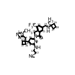 Cn1cnnc1CC1(c2cc(NCCC#N)nc(N3Cc4c(cc(CNC5(C)CCC5)cc4C(F)(F)F)C3=O)c2)CCC1